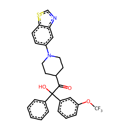 O=C(C1CCN(c2ccc3scnc3c2)CC1)C(O)(c1ccccc1)c1cccc(OC(F)(F)F)c1